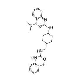 CN(C)c1nc(N[C@H]2CC[C@@H](CNC(=O)Nc3ccccc3F)CC2)nc2ccccc12